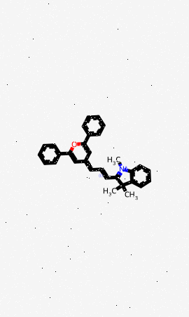 C[N+]1=C(/C=C/C=C2C=C(c3ccccc3)OC(c3ccccc3)=C2)C(C)(C)c2ccccc21